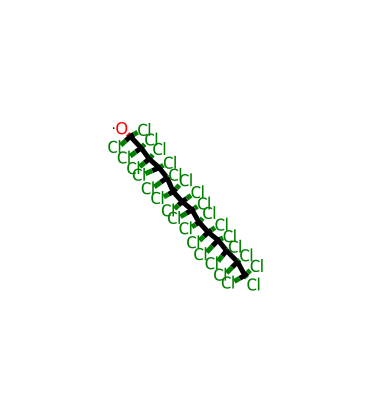 [O]C(Cl)(Cl)C(Cl)(Cl)C(Cl)(Cl)C(Cl)(Cl)C(Cl)(Cl)C(Cl)(Cl)C(Cl)(Cl)C(Cl)(Cl)C(Cl)(Cl)C(Cl)(Cl)C(Cl)(Cl)C(Cl)(Cl)C(Cl)(Cl)C(Cl)(Cl)Cl